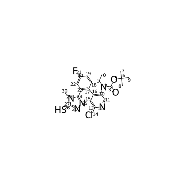 CCN(C(=O)OC(C)(C)C)c1cnc(Cl)cc1-c1ccc(F)cc1-c1nnc(S)n1C